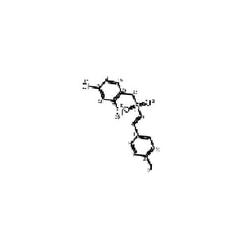 O=S(=O)(/C=C/c1ccc(I)cc1)Cc1ccc(Cl)cc1Cl